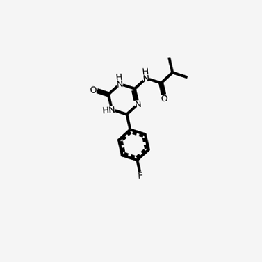 CC(C)C(=O)NC1=NC(c2ccc(F)cc2)NC(=O)N1